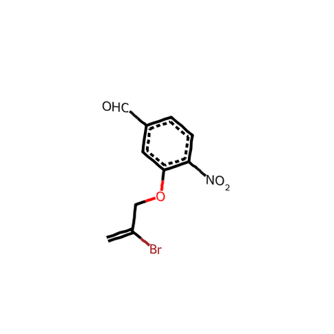 C=C(Br)COc1cc(C=O)ccc1[N+](=O)[O-]